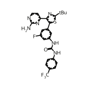 CC(C)(C)c1nc(-c2ccnc(N)n2)c(-c2cc(F)cc(NC(=O)Nc3ccc(C(F)(F)F)cc3)c2)s1